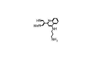 CN/C=C(\C=N)c1cc(NCCCN)c2ccccc2n1